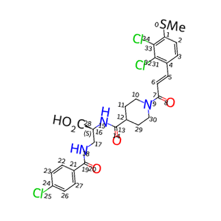 CSc1ccc(C=CC(=O)N2CCC(C(=O)N[C@@H](CNC(=O)c3ccc(Cl)cc3)C(=O)O)CC2)c(Cl)c1Cl